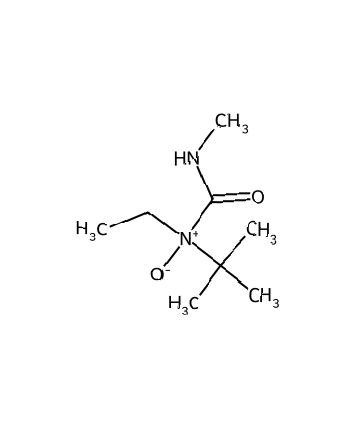 CC[N+]([O-])(C(=O)NC)C(C)(C)C